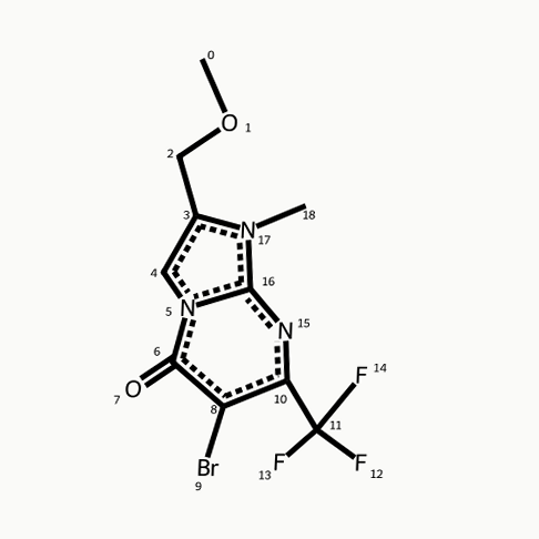 COCc1cn2c(=O)c(Br)c(C(F)(F)F)nc2n1C